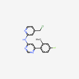 COc1cc(F)ccc1-c1cc(Nc2cc(CCl)ccn2)ncn1